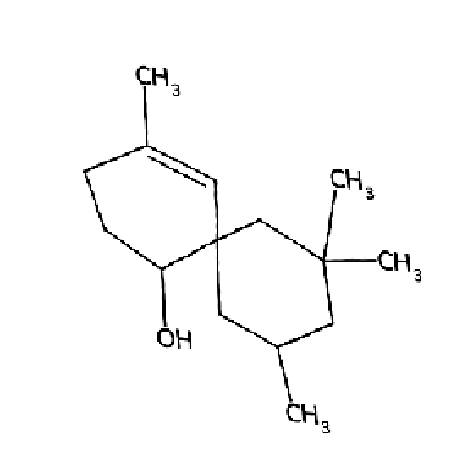 CC1=CC2(CC(C)CC(C)(C)C2)C(O)CC1